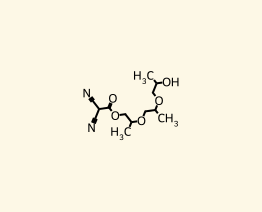 CC(O)COC(C)COC(C)COC(=O)C(C#N)C#N